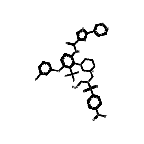 CCN(C[C@@H]1CCCN(c2c(NC(=O)c3csc(-c4ccnnc4)n3)ccc(Oc3cccc(F)c3)c2C(F)(F)F)C1)S(=O)(=O)c1ccc([N+](=O)[O-])cc1